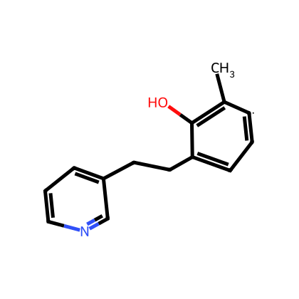 Cc1[c]ccc(CCc2cccnc2)c1O